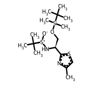 Cc1csc([C@H](CO[Si](C)(C)C(C)(C)C)N[S+]([O-])C(C)(C)C)n1